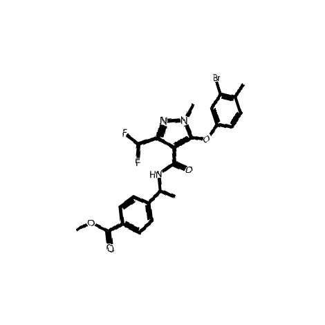 COC(=O)c1ccc(C(C)NC(=O)c2c(C(F)F)nn(C)c2Oc2ccc(C)c(Br)c2)cc1